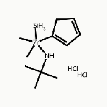 CC(C)(C)[NH][Zr]([CH3])([CH3])([SiH3])[C]1=CC=CC1.Cl.Cl